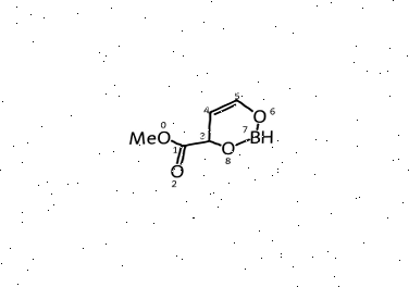 COC(=O)C1C=COBO1